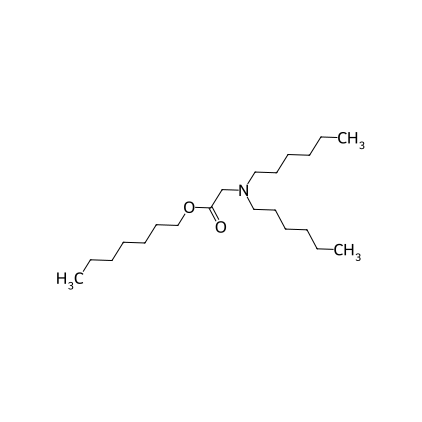 CCCCCCCOC(=O)CN(CCCCCC)CCCCCC